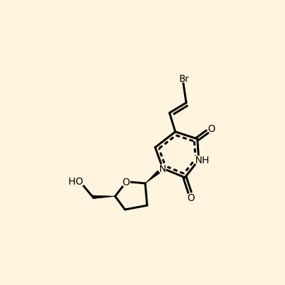 O=c1[nH]c(=O)n([C@H]2CC[C@@H](CO)O2)cc1/C=C/Br